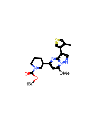 COc1cc(C2CCCN(C(=O)OC(C)(C)C)C2)nc2c(-c3cscc3C)cnn12